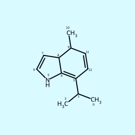 CC(C)C1=C2NC=CC2C(C)C=C1